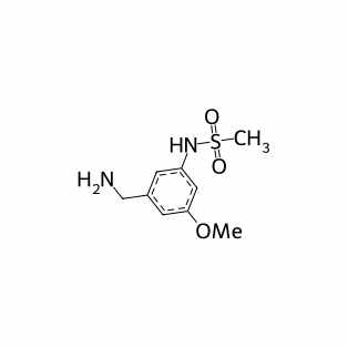 COc1cc(CN)cc(NS(C)(=O)=O)c1